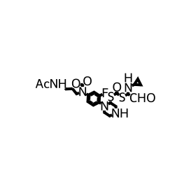 CC(=O)NCC1CN(c2ccc(N3CCNCC3SC(=O)SC(C=O)NC3CC3)c(F)c2)C(=O)O1